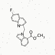 COC(=O)c1cccc2ccn(Cc3ccc4cc(F)ccc4n3)c12